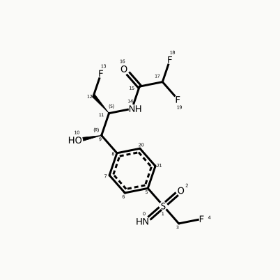 N=S(=O)(CF)c1ccc([C@@H](O)[C@@H](CF)NC(=O)C(F)F)cc1